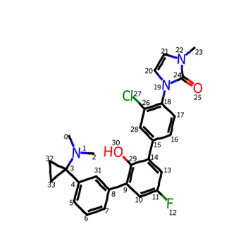 CN(C)C1(c2cccc(-c3cc(F)cc(-c4ccc(-n5ccn(C)c5=O)c(Cl)c4)c3O)c2)CC1